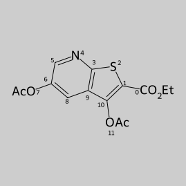 CCOC(=O)c1sc2ncc(OC(C)=O)cc2c1OC(C)=O